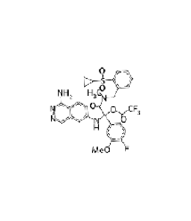 COc1cc(C(Nc2ccc3c(N)nncc3c2)(OC(=O)C(F)(F)F)C(=O)N(C)Cc2ccccc2S(=O)(=O)C2CC2)ccc1F